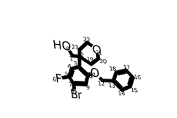 OCC1(c2cc(F)c(Br)cc2OCc2ccccc2)CCOCC1